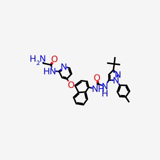 Cc1ccc(-n2nc(C(C)(C)C)cc2NC(=O)Nc2ccc(Oc3ccnc(NC(=O)CN)c3)c3ccccc23)cc1